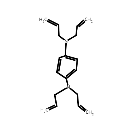 C=CCN(CC=C)c1ccc(N(CC=C)CC=C)cc1